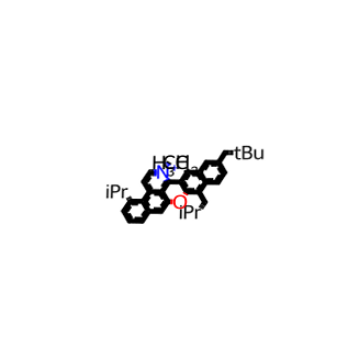 Cc1c2c(c(CC(C)C)c3ccc(CC(C)(C)C)cc13)Oc1cc3cccc(C(C)C)c3c3cc[n+](C)c-2c13